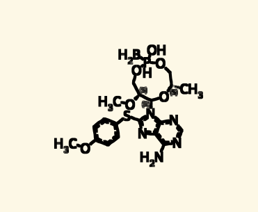 B[PH]1(O)OC[C@H](OC)[C@H](n2c(Sc3ccc(OC)cc3)nc3c(N)ncnc32)O[C@@H](C)CO1